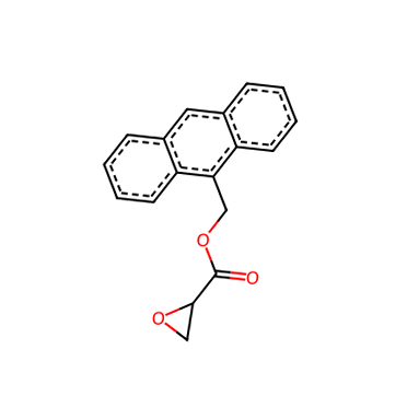 O=C(OCc1c2ccccc2cc2ccccc12)C1CO1